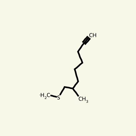 C#CCCCCC(C)CS[CH2]